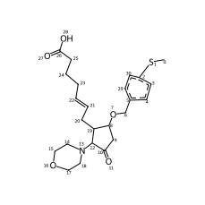 CSc1ccc(COC2CC(=O)C(N3CCOCC3)C2CC=CCCCC(=O)O)cc1